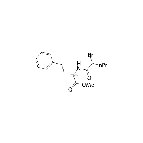 CCCC(Br)C(=O)N[C@@H](CCc1ccccc1)C(=O)OC